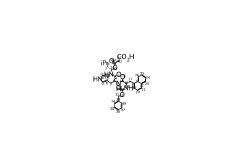 CC(C)C[C@@H](NC(=O)C(Cc1c[nH]cn1)NC(=O)[C@@H](Cc1cccc2ccccc12)NC(=O)OCc1ccccc1)O/[P+]([O-])=C/C(=O)O